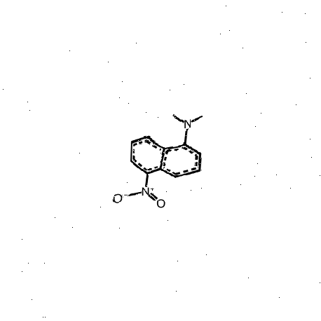 CN(C)c1cccc2c([N+](=O)[O-])cccc12